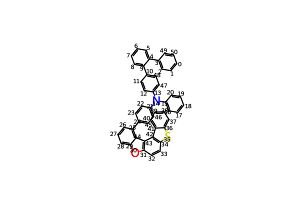 c1ccc(-c2ccccc2-c2ccc(N(c3ccccc3)c3ccc(-c4cccc5oc6ccc7sc8ccccc8c7c6c45)cc3)cc2)cc1